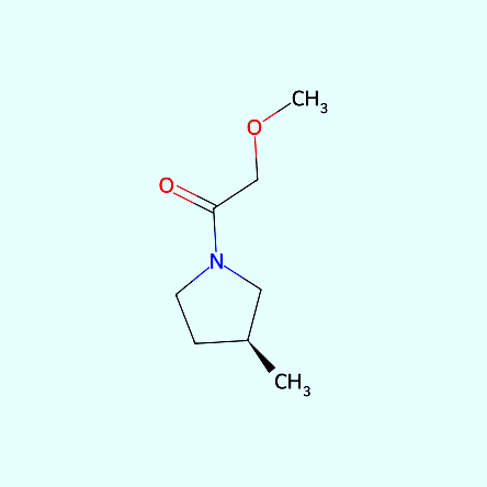 COCC(=O)N1CC[C@H](C)C1